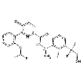 C[C@@H](NC(=O)c1ccc(=O)n(-c2ccccc2OC(F)F)n1)c1cccc(C(F)(F)CO)c1F